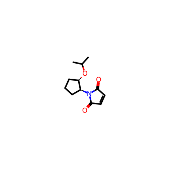 CC(C)O[C@H]1CCC[C@@H]1N1C(=O)C=CC1=O